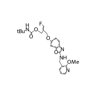 COc1ncccc1CNc1nc2ccc(OC/C(=C/F)COC(=O)NC(C)(C)C)cc2o1